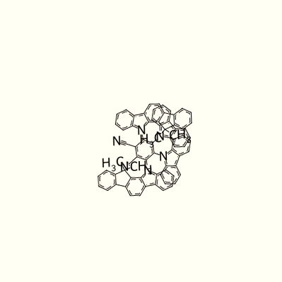 CC1(C)c2ccccc2-c2ccc3c4ccccc4n(-c4c(C#N)c(C#N)c(-n5c6ccccc6c6ccc7c(c65)C(C)(C)c5ccccc5-7)c(-n5c6ccccc6c6ccccc65)c4-n4c5ccccc5c5ccccc54)c3c21